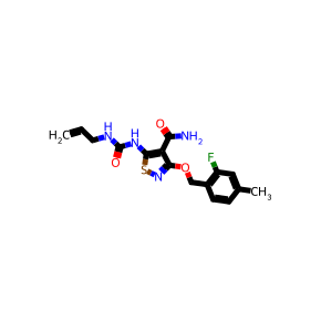 C=CCNC(=O)Nc1snc(OCc2ccc(C)cc2F)c1C(N)=O